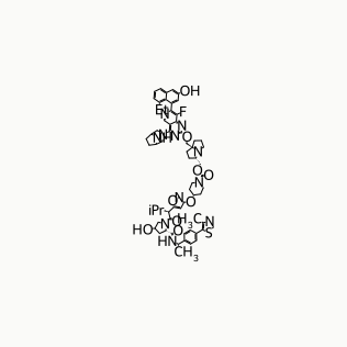 CCc1cccc2cc(O)cc(-c3ncc4c(N5CC6CCC(C5)N6)nc(OC[C@@]56CCCN5[C@H](COC(=O)N5CCC(Oc7cc([C@@H](C(=O)N8C[C@H](O)C[C@H]8C(=O)N[C@@H](C)c8ccc(-c9scnc9C)cc8)C(C)C)on7)CC5)CC6)nc4c3F)c12